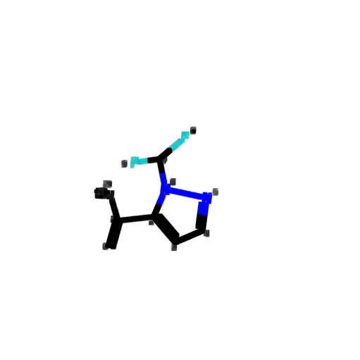 C=C(c1ccnn1C(F)F)C(C)(C)C